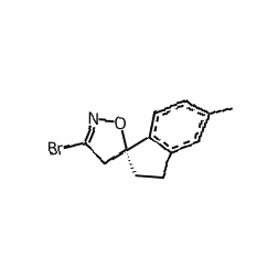 Cc1ccc2c(c1)CC[C@@]21CC(Br)=NO1